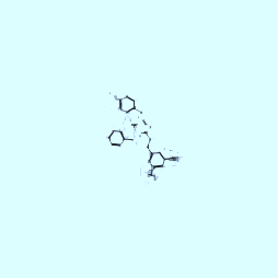 Nc1ccc(Cn2nc(CCc3cc(C(F)(F)F)cc(C(F)(F)F)c3)n(Cc3ccccc3)c2=O)cc1